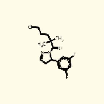 CC(C)(CCCCl)C(=O)N1N=CCC1c1cc(F)cc(F)c1